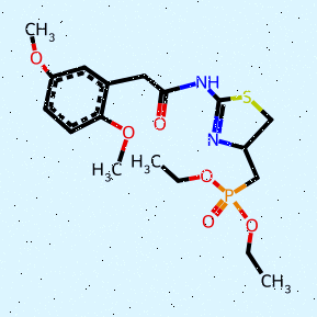 CCOP(=O)(CC1CSC(NC(=O)Cc2cc(OC)ccc2OC)=N1)OCC